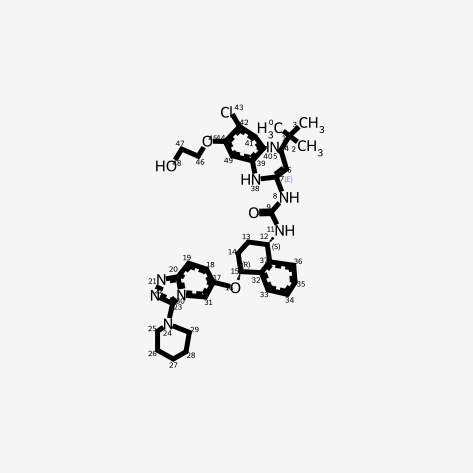 CC(C)(C)C(=N)/C=C(/NC(=O)N[C@H]1CC[C@@H](Oc2ccc3nnc(N4CCCCC4)n3c2)c2ccccc21)Nc1ccc(Cl)c(OCCO)c1